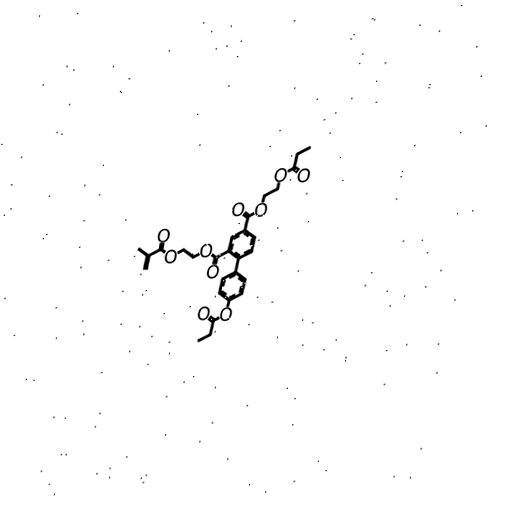 C=C(C)C(=O)OCCOC(=O)c1cc(C(=O)OCCOC(=O)CC)ccc1-c1ccc(OC(=O)CC)cc1